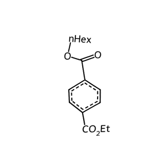 CCCCCCOC(=O)c1ccc(C(=O)OCC)cc1